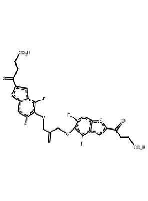 C=C(COc1c(F)cc2sc(C(=O)CCC(=O)O)cc2c1F)COc1c(F)cc2sc(C(=O)CCC(=O)O)cc2c1F